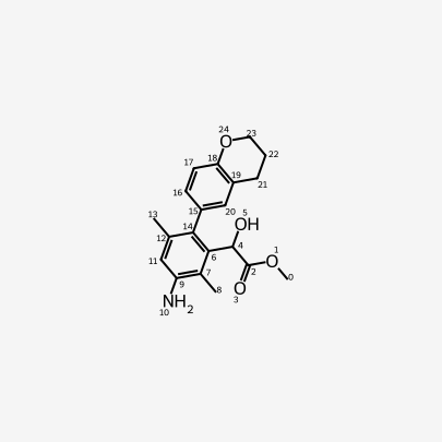 COC(=O)C(O)c1c(C)c(N)cc(C)c1-c1ccc2c(c1)CCCO2